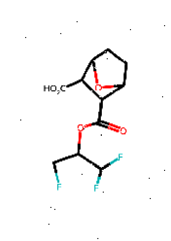 O=C(O)C1C2CCC(O2)C1C(=O)OC(CF)C(F)F